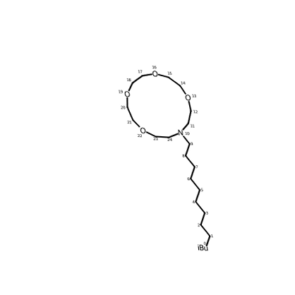 CCC(C)CCCCCCCCCN1CCOCCOCCOCCOCC1